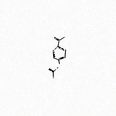 CCCCC(=O)Oc1ccc(C(N)=S)cc1